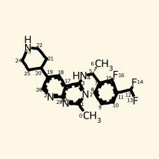 Cc1nc(N[C@H](C)c2cccc(C(F)F)c2F)c2cc(C3CCNCC3)cnc2n1